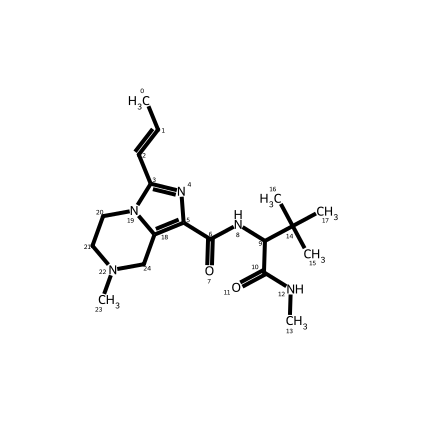 CC=Cc1nc(C(=O)NC(C(=O)NC)C(C)(C)C)c2n1CCN(C)C2